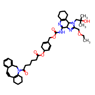 CCOCC1=NC2C(NC(=O)OCC3=CCC(OC(=O)CCCCC(=O)N4Cc5ccccc5C#CC5=C4CCCC5)C=C3)=NC3=C(CCCC3)C2N1CC(C)(C)O